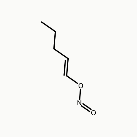 CCCC=CON=O